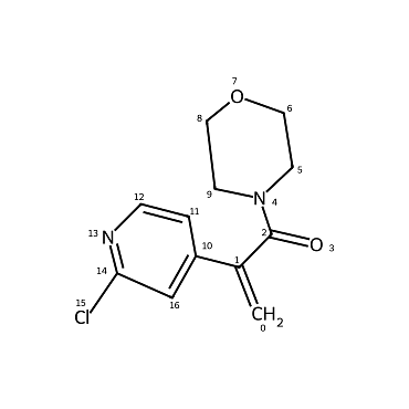 C=C(C(=O)N1CCOCC1)c1ccnc(Cl)c1